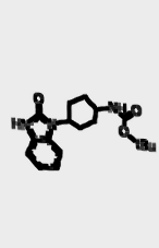 CC(C)(C)OC(=O)NC1CCC(n2c(=O)[nH]c3ccccc32)CC1